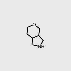 [CH]1NCC2COCCC12